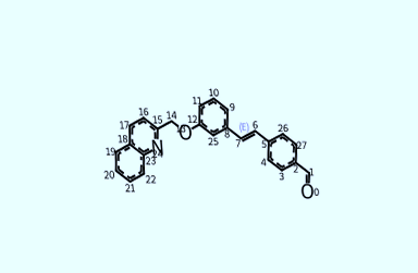 O=Cc1ccc(/C=C/c2cccc(OCc3ccc4ccccc4n3)c2)cc1